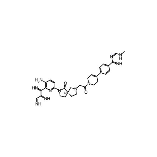 CN/C=N\C(=N)c1ccc(C2=CCN(C(=O)CN3CC[C@]4(CCN(c5ccc(N)c(C(=N)C(=N)C=N)n5)C4=O)C3)CC2)cc1